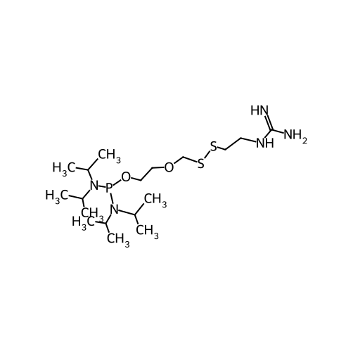 CC(C)N(C(C)C)P(OCCOCSSCCNC(=N)N)N(C(C)C)C(C)C